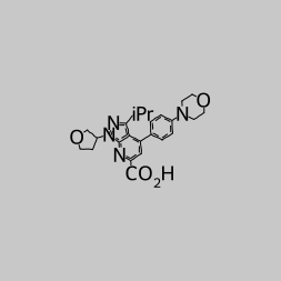 CC(C)c1nn(C2CCOC2)c2nc(C(=O)O)cc(-c3ccc(N4CCOCC4)cc3)c12